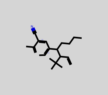 C=CC(C(CCCC)C(=C/C)/C=C(/C#N)C(=C)C)C(C)(C)C